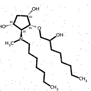 CCCCCCCN(C)[C@@H]1[C@@H](OCC(O)CCCCCC)[C@@H](O)C[C@H]1O